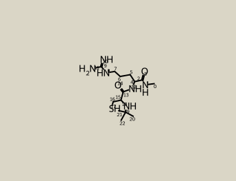 CNC(=O)C(CCCNC(=N)N)NC(=O)C(CS)NC(C)(C)C